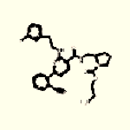 N#Cc1ccccc1-c1ccc(C(=O)NCC2CCCN2C(=O)OCCN)c(NCCc2cccc(F)c2)n1